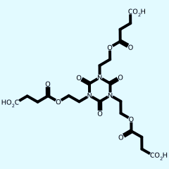 O=C(O)CCC(=O)OCCn1c(=O)n(CCOC(=O)CCC(=O)O)c(=O)n(CCOC(=O)CCC(=O)O)c1=O